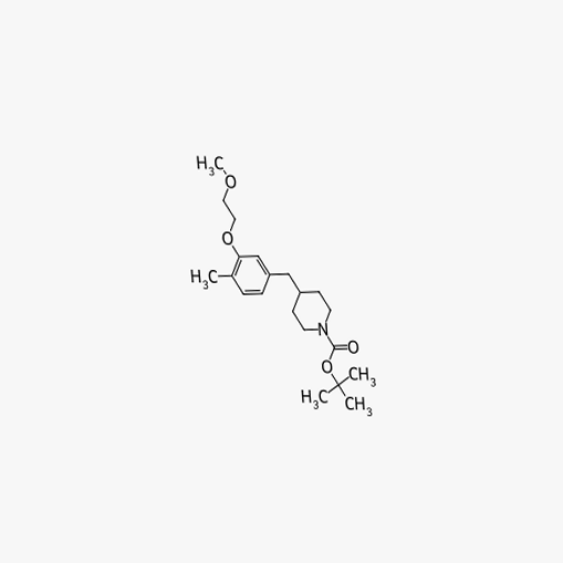 COCCOc1cc(CC2CCN(C(=O)OC(C)(C)C)CC2)ccc1C